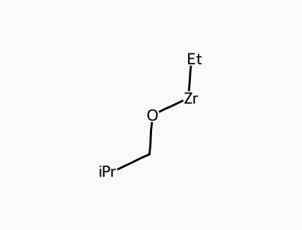 C[CH2][Zr][O]CC(C)C